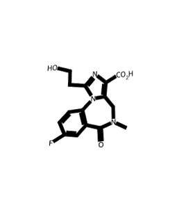 CN1Cc2c(C(=O)O)nc(CCO)n2-c2ccc(F)cc2C1=O